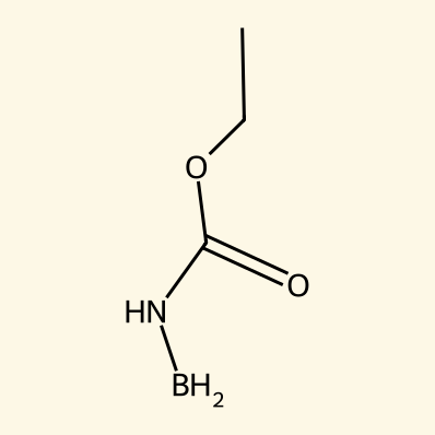 BNC(=O)OCC